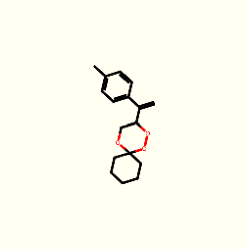 C=C(c1ccc(C)cc1)C1COC2(CCCCC2)OO1